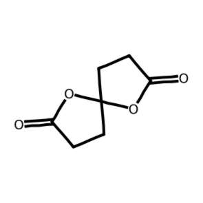 O=C1CCC2(CCC(=O)O2)O1